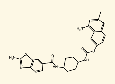 Cc1cc(N)c2cc(OC(=O)NC3CCC(NC(=O)c4ccc5nc(N)sc5c4)CC3)ccc2n1